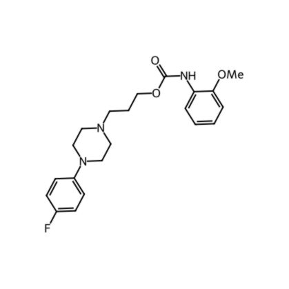 COc1ccccc1NC(=O)OCCCN1CCN(c2ccc(F)cc2)CC1